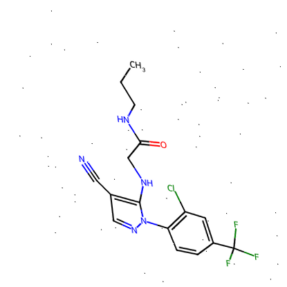 CCCNC(=O)CNc1c(C#N)cnn1-c1ccc(C(F)(F)F)cc1Cl